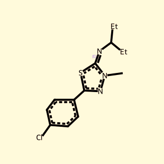 CCC(CC)/N=c1/sc(-c2ccc(Cl)cc2)nn1C